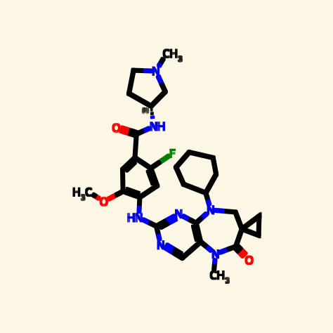 COc1cc(C(=O)N[C@@H]2CCN(C)C2)c(F)cc1Nc1ncc2c(n1)N(C1CCCCC1)CC1(CC1)C(=O)N2C